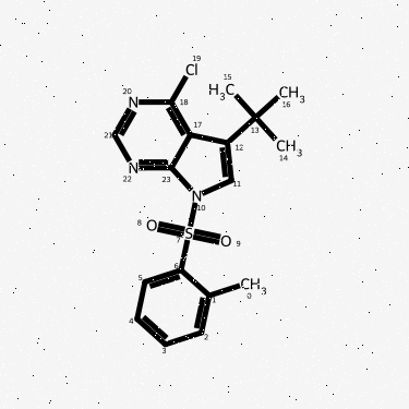 Cc1ccccc1S(=O)(=O)n1cc(C(C)(C)C)c2c(Cl)ncnc21